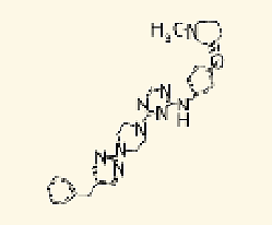 CN1CCC[C@H](Oc2ccc(Nc3ncnc(N4CCN(c5ncc(Cc6ccccc6)cn5)CC4)n3)cc2)C1